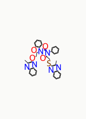 Cc1nc2ccccc2nc1OCC(=O)[N+](C)(C(=O)N(C(=O)CSc1nc2ccccc2nc1C)c1ccccc1)c1ccccc1